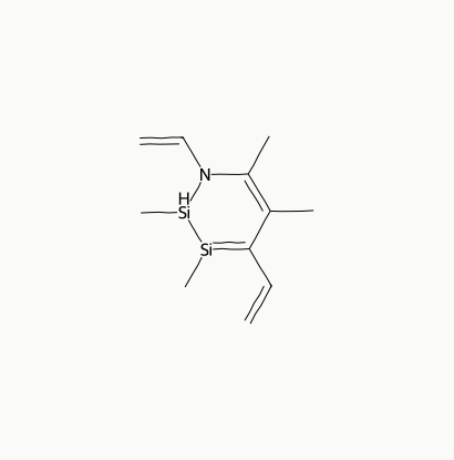 C=CC1=[Si](C)[SiH](C)N(C=C)C(C)=C1C